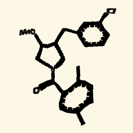 COC1CN(C(=O)c2cc(C)ccc2C)CC1Cc1cccc(Cl)c1